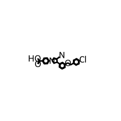 N#CC1=CN(c2ccc(C(=O)O)cc2)CC1c1cccc(OCc2ccc(Cl)cc2)c1